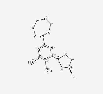 Cc1cc(N2CCCOCC2)nc(N2CC[C@@H](F)C2)c1N